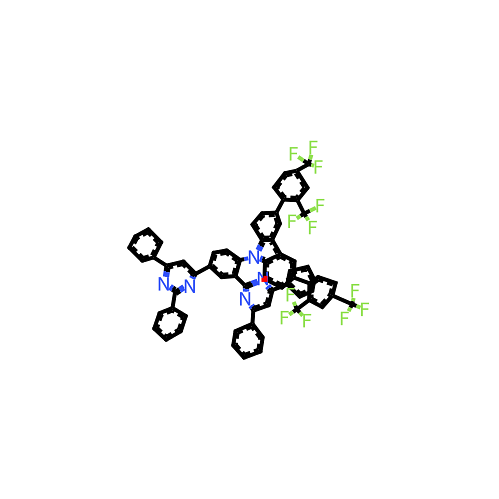 FC(F)(F)c1ccc(-c2ccc3c(c2)c2cc(-c4ccc(C(F)(F)F)cc4C(F)(F)F)ccc2n3-c2ccc(-c3cc(-c4ccccc4)nc(-c4ccccc4)n3)cc2-c2nc(-c3ccccc3)cc(-c3ccccc3)n2)c(C(F)(F)F)c1